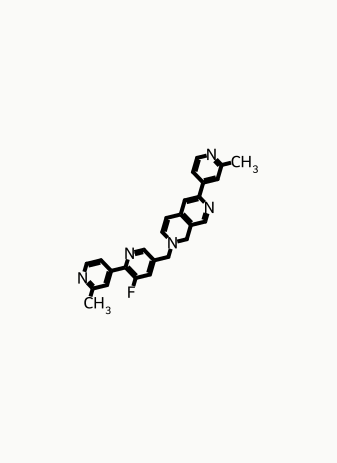 Cc1cc(-c2cc3c(cn2)CN(Cc2cnc(-c4ccnc(C)c4)c(F)c2)C=C3)ccn1